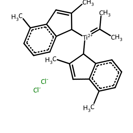 CC1=Cc2c(C)cccc2[CH]1[Ti+2](=[C](C)C)[CH]1C(C)=Cc2c(C)cccc21.[Cl-].[Cl-]